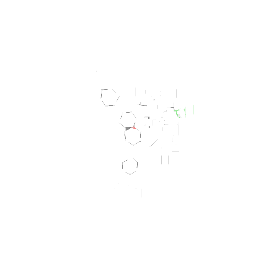 CC(C)c1ccc(-c2cccc3c2C=C(C(C)(C)C)[CH]3[Zr+2]2([CH]3C(C(C)(C)C)=Cc4c(-c5ccc(C(C)C)cc5)cccc43)[CH]3CCCC[CH]32)cc1.[Cl-].[Cl-]